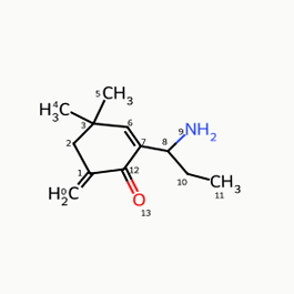 C=C1CC(C)(C)C=C(C(N)CC)C1=O